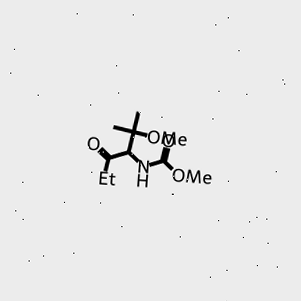 CCC(=O)C(NC(=O)OC)C(C)(C)OC